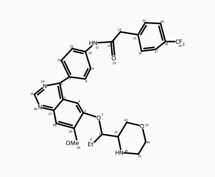 CCC(Oc1cc2c(-c3ccc(NC(=O)Cc4ccc(C(F)(F)F)cc4)cc3)ncnc2cc1OC)C1COCCN1